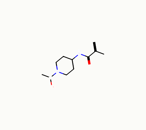 C=C(C)C(=O)NC1CCN(B(C)O)CC1